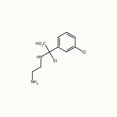 CCC(NCCN)(C(=O)O)c1cccc(Cl)c1